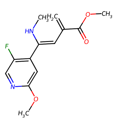 C=C(/C=C(\NC)c1cc(OC)ncc1F)C(=O)OC